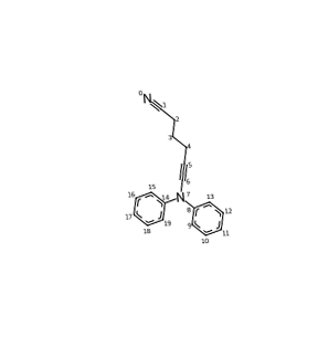 N#CCCCC#CN(c1ccccc1)c1ccccc1